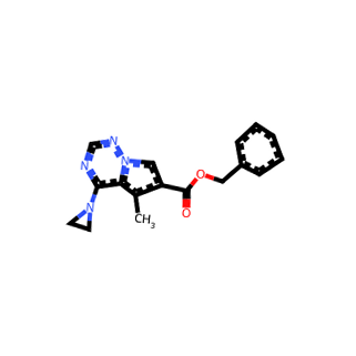 Cc1c(C(=O)OCc2ccccc2)cn2ncnc(N3CC3)c12